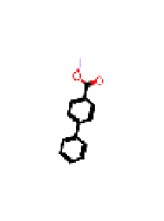 O=C(OI)c1ccc(-c2ccccc2)cc1